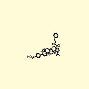 C=C(C)[C@@H]1CC[C@]2(C(=O)NCCc3ccccc3)CC[C@]3(C)[C@H](CC[C@@H]4[C@@]5(C)CC=C(c6ccc(C(=O)O)cc6)C(C)(C)[C@@H]5CC[C@]43C)[C@@H]12